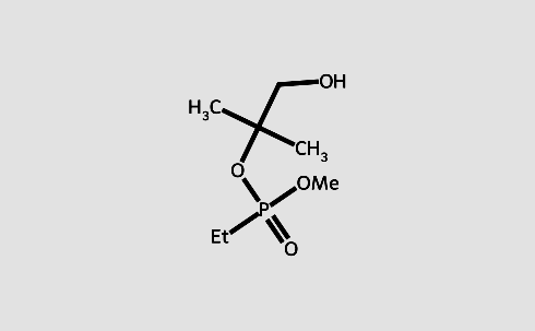 CCP(=O)(OC)OC(C)(C)CO